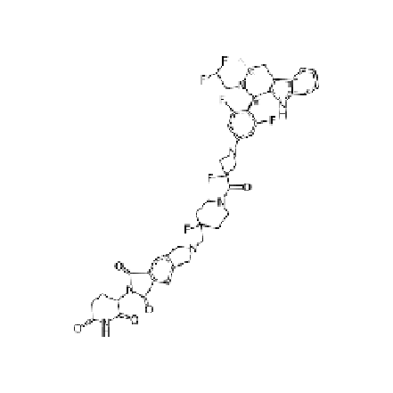 C[C@@H]1Cc2c([nH]c3ccccc23)[C@@H](c2c(F)cc(N3CC(F)(C(=O)N4CCC(F)(CN5Cc6cc7c(cc6C5)C(=O)N(C5CCC(=O)NC5=O)C7=O)CC4)C3)cc2F)N1CC(F)F